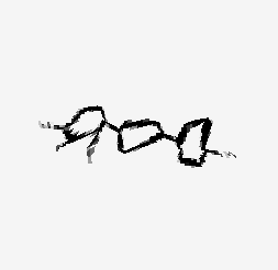 CCCc1ccc(-c2ccc(-c3ccc(CC)c(F)c3F)cc2)cc1